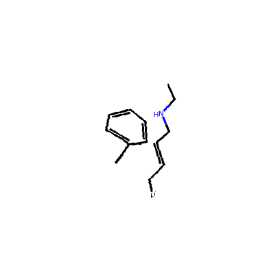 Cc1ccccc1.[Li][CH2]C=CCNCC